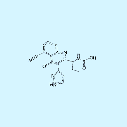 CCC(NC(=O)O)c1nc2cccc(C#N)c2c(=O)n1-c1cc[nH]n1